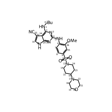 CC[C@H](C)Nc1nc(Nc2ccc(S(=O)(=O)N3CCC(N4CCOCC4)CC3)cc2OC)nc2[nH]cc(C#N)c12